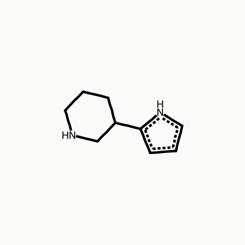 c1c[nH]c(C2CCCNC2)c1